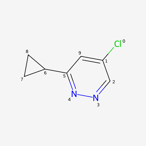 Clc1cnnc(C2CC2)c1